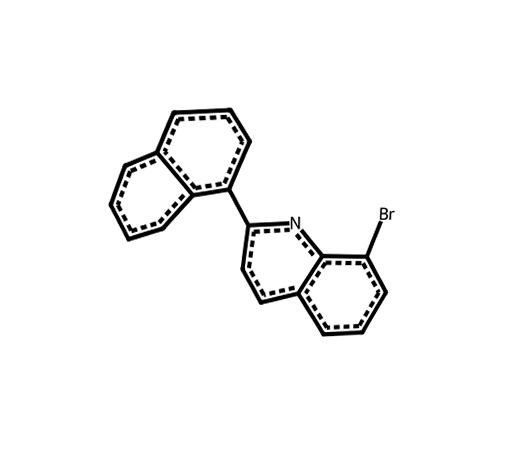 Brc1cccc2ccc(-c3cccc4ccccc34)nc12